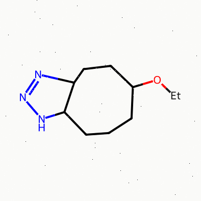 CCOC1CCCC2NN=NC2CC1